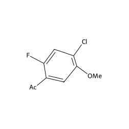 COc1cc(C(C)=O)c(F)cc1Cl